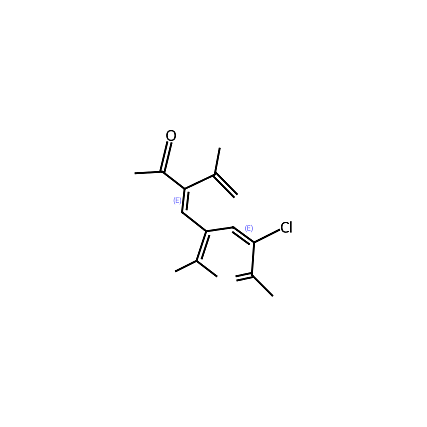 C=C(C)/C(Cl)=C\C(/C=C(\C(=C)C)C(C)=O)=C(C)C